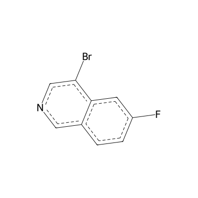 Fc1ccc2cncc(Br)c2c1